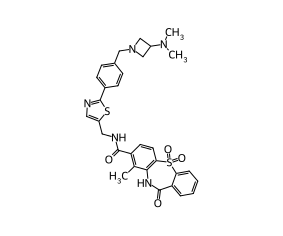 Cc1c(C(=O)NCc2cnc(-c3ccc(CN4CC(N(C)C)C4)cc3)s2)ccc2c1NC(=O)c1ccccc1S2(=O)=O